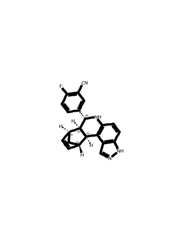 N#Cc1cc([C@@H]2Nc3ccc4[nH]ncc4c3[C@@H]3[C@H]2[C@@H]2C=C[C@@H]3C2)ccc1F